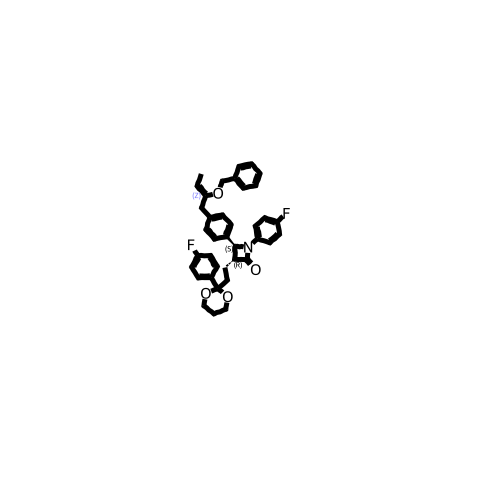 C/C=C(/Cc1ccc([C@@H]2[C@@H](CCC3(c4ccc(F)cc4)OCCCO3)C(=O)N2c2ccc(F)cc2)cc1)OCc1ccccc1